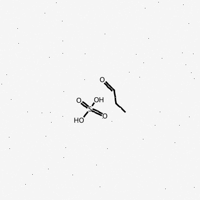 CCC=O.O=S(=O)(O)O